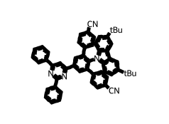 CC(C)(C)c1ccc2c(c1)c1cc(C(C)(C)C)ccc1n2-c1c(-c2ccc(C#N)cc2)cc(-c2cc(-c3ccccc3)nc(-c3ccccc3)n2)cc1-c1ccc(C#N)cc1